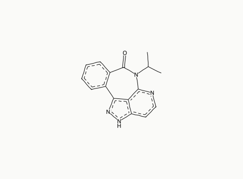 CC(C)N1C(=O)c2ccccc2-c2n[nH]c3ccnc1c23